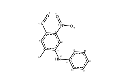 Cc1cc(N=O)c([N+](=O)[O-])cc1Nc1ccccc1